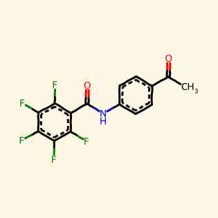 CC(=O)c1ccc(NC(=O)c2c(F)c(F)c(F)c(F)c2F)cc1